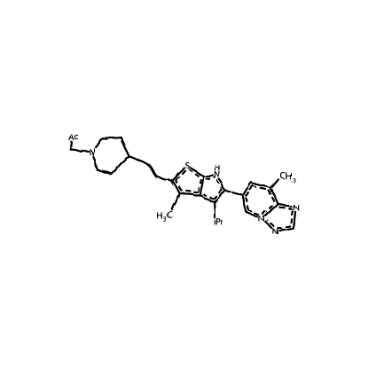 CC(=O)CN1CCC(CCc2sc3[nH]c(-c4cc(C)c5ncnn5c4)c(C(C)C)c3c2C)CC1